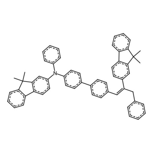 CC1(C)c2ccccc2-c2ccc(/C(=C\c3ccc(-c4ccc(N(c5ccccc5)c5ccc6c(c5)C(C)(C)c5ccccc5-6)cc4)cc3)Cc3ccccc3)cc21